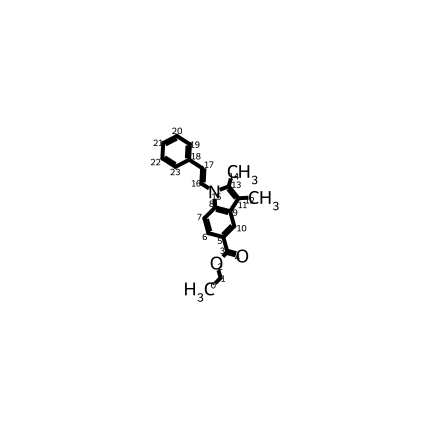 CCOC(=O)c1ccc2c(c1)c(C)c(C)n2C=Cc1ccccc1